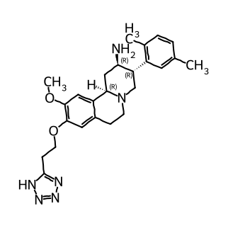 COc1cc2c(cc1OCCc1nnn[nH]1)CCN1C[C@@H](c3cc(C)ccc3C)[C@H](N)C[C@H]21